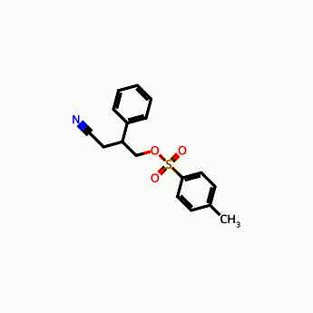 Cc1ccc(S(=O)(=O)OCC(CC#N)c2ccccc2)cc1